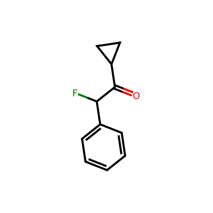 O=C(C1CC1)C(F)c1ccccc1